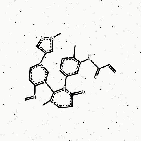 C=CC(=O)Nc1cc(-n2c(-c3cc(-c4cnn(C)c4)ccc3N=C)c(C)ccc2=O)ccc1C